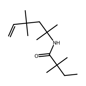 C=CC(C)(C)CC(C)(C)NC(=O)C(C)(C)CC